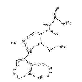 CC(C)Cc1c(C(=O)NC(=N)N)cnn1-c1cccc2ncccc12.Cl